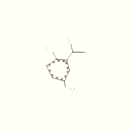 COc1ccc(O)c(C(F)F)c1